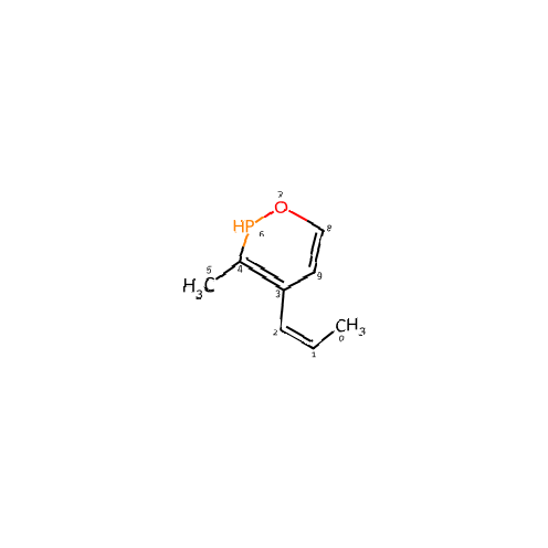 C/C=C\C1=C(C)POC=C1